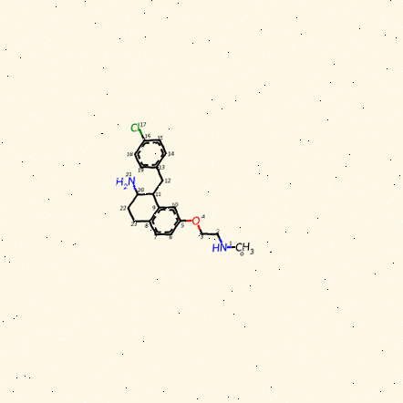 CNCCOc1ccc2c(c1)C(Cc1ccc(Cl)cc1)C(N)CC2